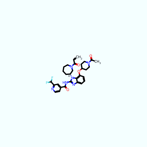 C=CC(=O)N1CCCC[C@@H](n2c(NC(=O)c3ccnc(C(F)F)c3)nc3cccc(OC4CCN(C(C)=O)CC4)c32)C1